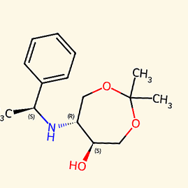 C[C@H](N[C@@H]1COC(C)(C)OC[C@H]1O)c1ccccc1